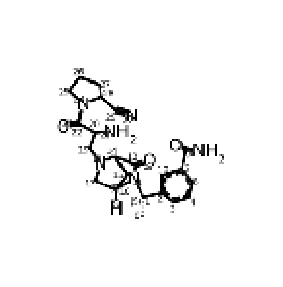 C[C@@H](c1cccc(C(N)=O)c1)N1C(=O)C2C[C@H]1CN2CC(N)C(=O)N1CCCC1C#N